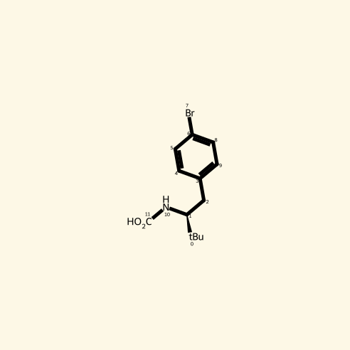 CC(C)(C)[C@H](Cc1ccc(Br)cc1)NC(=O)O